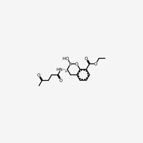 CCOC(=O)c1cccc2c1OB(O)[C@@H](NC(=O)CCC(C)=O)C2